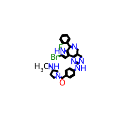 CNC1CCN(C(=O)c2ccc(Nc3ncc4c(n3)-c3cc(Br)[nH]c3C(c3ccccc3F)=NC4)cc2)C1